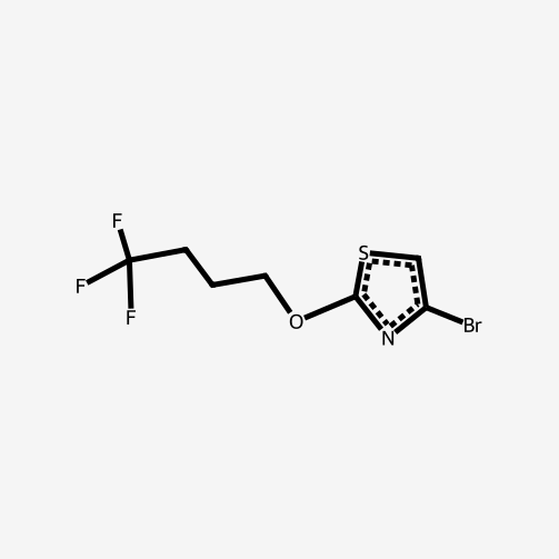 FC(F)(F)CCCOc1nc(Br)cs1